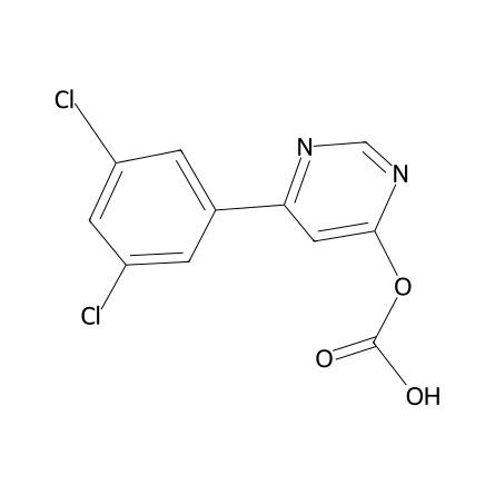 O=C(O)Oc1cc(-c2cc(Cl)cc(Cl)c2)ncn1